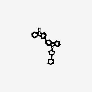 C1=CCCC(C2=CC=C(n3c4ccccc4c4cc(-c5ccc6[nH]c7ccccc7c6c5)ccc43)CC2)=C1